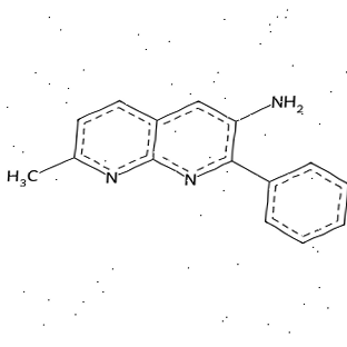 Cc1ccc2cc(N)c(-c3ccccc3)nc2n1